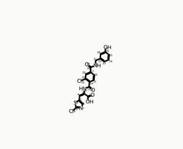 O=C(O)C(=Cc1cnc(Cl)s1)NC(=O)c1ccc(C(=O)NCc2cccc(O)c2)cc1Cl